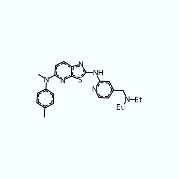 CCN(CC)Cc1ccnc(Nc2nc3ccc(N(C)c4ccc(C)cc4)nc3s2)c1